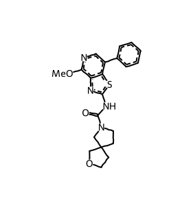 COc1ncc(-c2ccccc2)c2sc(NC(=O)N3CCC4(CCOC4)C3)nc12